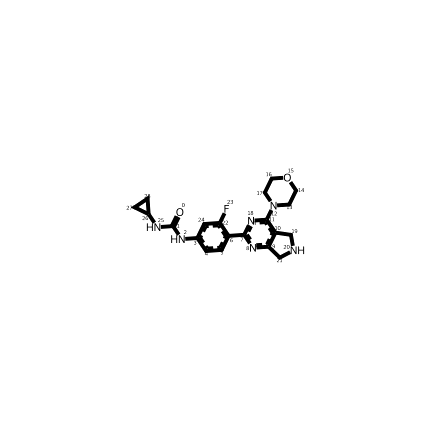 O=C(Nc1ccc(-c2nc3c(c(N4CCOCC4)n2)CNC3)c(F)c1)NC1CC1